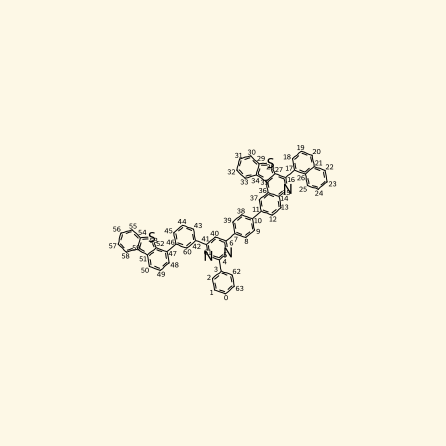 c1ccc(-c2nc(-c3ccc(-c4ccc5nc(-c6cccc7ccccc67)c6sc7ccccc7c6c5c4)cc3)cc(-c3cccc(-c4cccc5c4sc4ccccc45)c3)n2)cc1